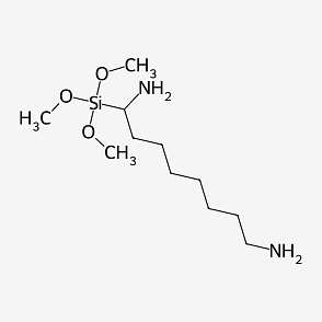 CO[Si](OC)(OC)C(N)CCCCCCCN